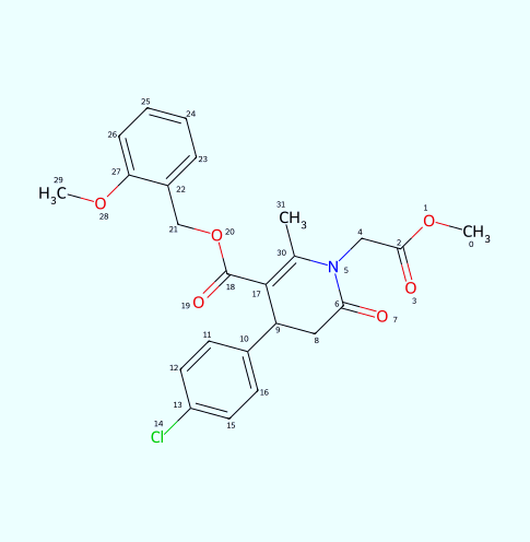 COC(=O)CN1C(=O)CC(c2ccc(Cl)cc2)C(C(=O)OCc2ccccc2OC)=C1C